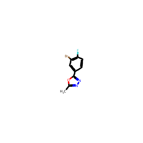 Cc1nnc(-c2ccc(F)c(Br)c2)o1